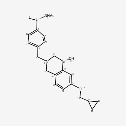 CC(=O)N[C@@H](C)c1ccc(CN2Cc3ccc(OCC4CC4)cc3[C@@H](O)C2)cc1